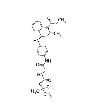 CCC(=O)N1c2ccccc2[C@H](Nc2ccc(NC(=O)CNC(=O)OC(C)(C)C)cc2)C[C@@H]1C